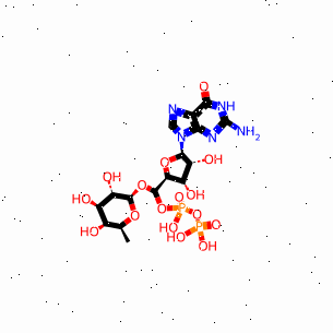 C[C@@H]1O[C@H](OC(OP(=O)(O)OP(=O)(O)O)[C@H]2O[C@@H](n3cnc4c(=O)[nH]c(N)nc43)[C@H](O)[C@@H]2O)[C@@H](O)[C@H](O)[C@@H]1O